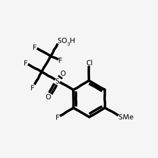 CSc1cc(F)c(S(=O)(=O)C(F)(F)C(F)(F)S(=O)(=O)O)c(Cl)c1